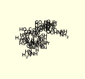 CC[C@H](C)[C@H](NC(=O)[C@H](CC(C)C)NC(=O)[C@H](CS)NC(=O)[C@H](CCCCN)NC(=O)[C@H](CCC(=O)O)NC(=O)[C@H](CCC(=O)O)NC(=O)[C@H](Cc1ccc(O)cc1)NC(=O)[C@H](C)NC(=O)[C@@H](NC(=O)[C@@H](N)CCCNC(=N)N)C(C)C)C(=O)N[C@H](C(=O)N[C@@H](CCCNC(=N)N)C(=O)N[C@@H](CS)C(=O)N[C@@H](C)C(=O)N[C@H](C(=O)O)C(C)C)[C@@H](C)CC